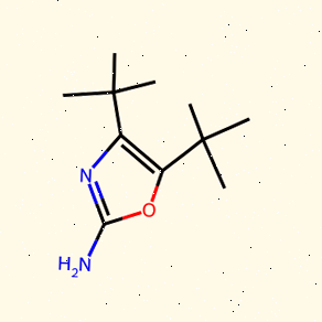 CC(C)(C)c1nc(N)oc1C(C)(C)C